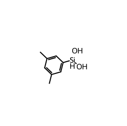 Cc1cc(C)cc([SiH](O)O)c1